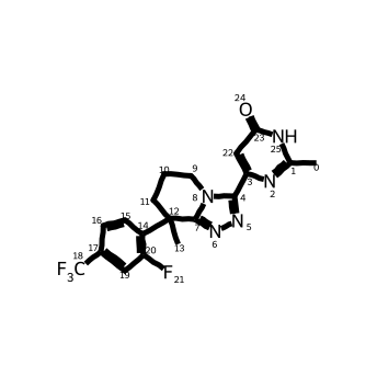 Cc1nc(-c2nnc3n2CCCC3(C)c2ccc(C(F)(F)F)cc2F)cc(=O)[nH]1